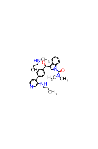 CCCNC.CCCNc1cnccc1-c1ccc(C(=O)c2cn(C(=O)N(C)C)c3ccccc23)cc1